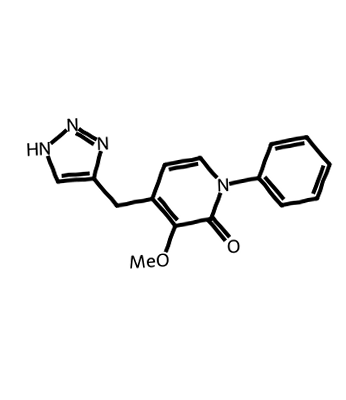 COc1c(Cc2c[nH]nn2)ccn(-c2ccccc2)c1=O